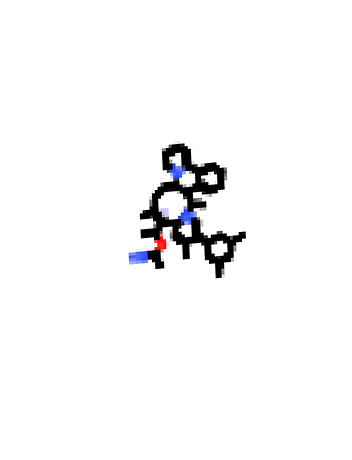 C=C(OC(C)=N)/C1=C(\C)CCC2C(C(=C)[n+]3cc(C4CC(C)CC(C)C4)c(C)cc31)c1ccccc1-c1cccc[n+]12